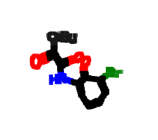 CC(C)COC(=O)C(=O)Nc1ccccc(Br)c1=O